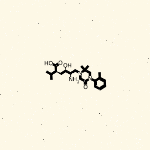 Cc1ccccc1N1CC(C)(C)N(C[C@H](N)[C@@H](O)C[C@H](C(=O)O)C(C)C)CC1=O